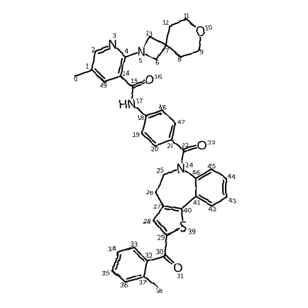 Cc1cnc(N2CC3(CCOCC3)C2)c(C(=O)Nc2ccc(C(=O)N3CCc4cc(C(=O)c5ccccc5C)sc4-c4ccccc43)cc2)c1